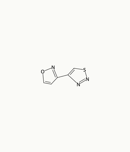 c1cc(-c2csnn2)no1